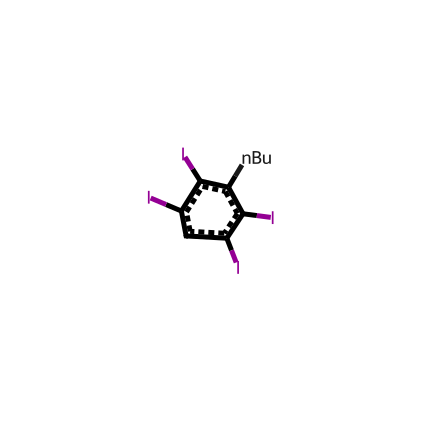 CCCCc1c(I)c(I)cc(I)c1I